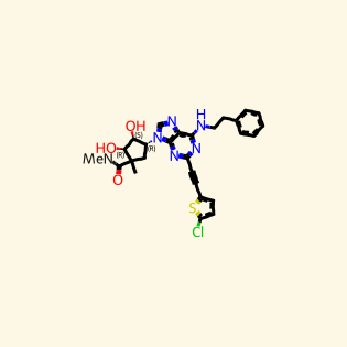 CNC(=O)C1(C)C[C@@H](n2cnc3c(NCCc4ccccc4)nc(C#Cc4ccc(Cl)s4)nc32)[C@H](O)[C@@H]1O